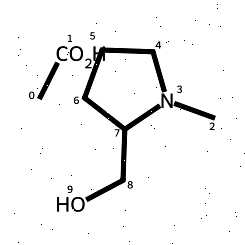 CC(=O)O.CN1CCCC1CO